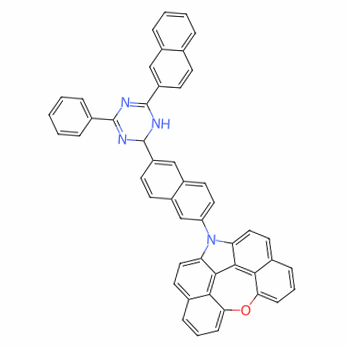 c1ccc(C2=NC(c3ccc4cc(-n5c6ccc7cccc8oc9cccc%10ccc5c(c%109)c6c78)ccc4c3)NC(c3ccc4ccccc4c3)=N2)cc1